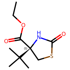 CCOC(=O)[C@@]1(C(C)(C)C)CSC(=O)N1